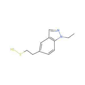 CCn1ncc2cc(CCSS)ccc21